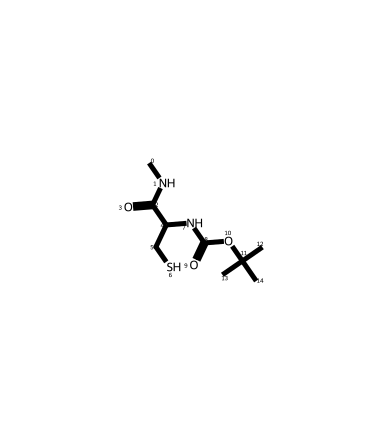 CNC(=O)C(CS)NC(=O)OC(C)(C)C